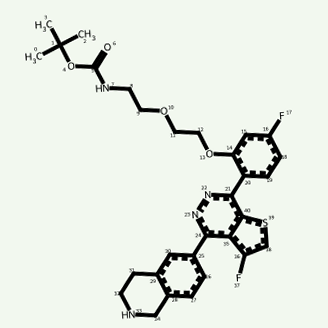 CC(C)(C)OC(=O)NCCOCCOc1cc(F)ccc1-c1nnc(-c2ccc3c(c2)CCNC3)c2c(F)csc12